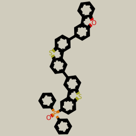 O=P(c1ccccc1)(c1ccccc1)c1ccc2sc3ccc(-c4ccc5sc6ccc(-c7ccc8oc9ccccc9c8c7)cc6c5c4)cc3c2c1